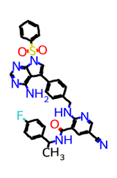 CC(NC(=O)c1cc(C#N)cnc1NCc1ccc(-c2cn(S(=O)(=O)c3ccccc3)c3ncnc(N)c23)cc1)c1ccc(F)cc1